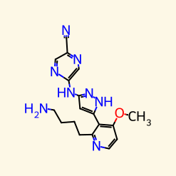 COc1ccnc(CCCCN)c1-c1cc(Nc2cnc(C#N)cn2)n[nH]1